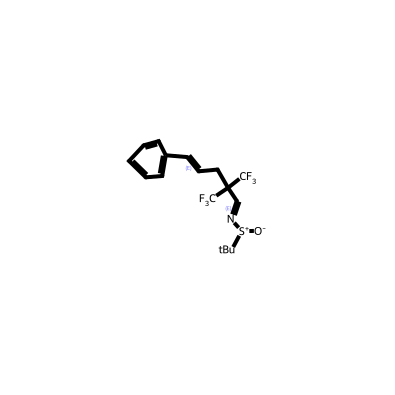 CC(C)(C)[S+]([O-])/N=C/C(C/C=C/c1ccccc1)(C(F)(F)F)C(F)(F)F